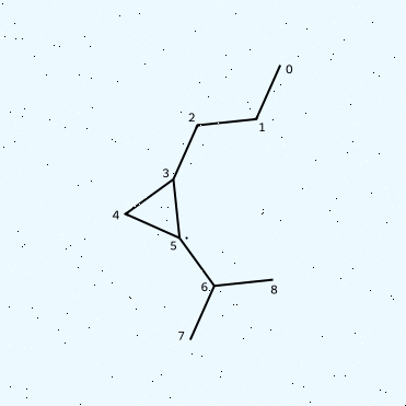 CCCC1C[C]1C(C)C